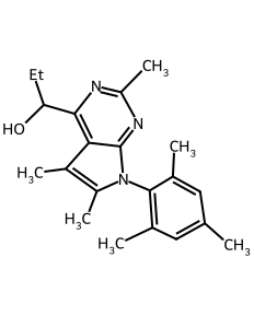 CCC(O)c1nc(C)nc2c1c(C)c(C)n2-c1c(C)cc(C)cc1C